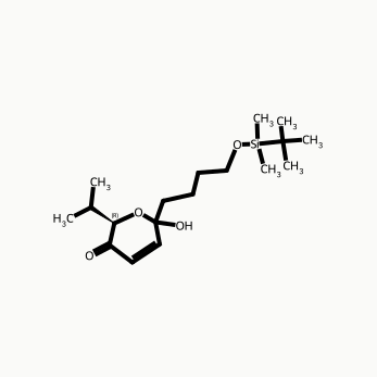 CC(C)[C@H]1OC(O)(CCCCO[Si](C)(C)C(C)(C)C)C=CC1=O